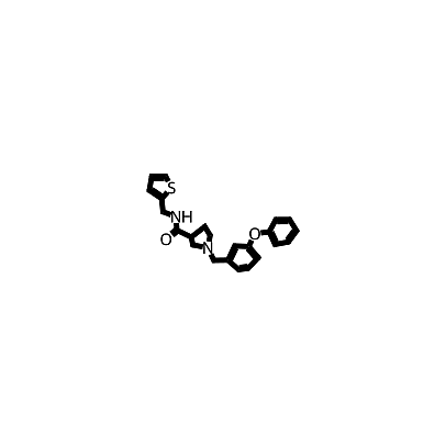 O=C(NCc1cccs1)C1CCN(Cc2cccc(Oc3ccccc3)c2)C1